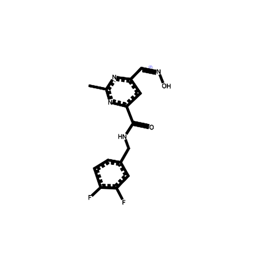 Cc1nc(/C=N\O)cc(C(=O)NCc2ccc(F)c(F)c2)n1